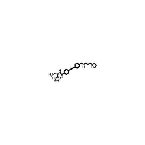 NC[C@H](NC(=O)c1ccc(C#Cc2ccc(CNCCCN3CCCO3)cc2)cc1)C(=O)NO